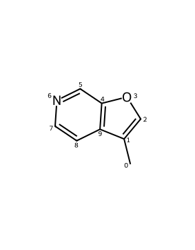 Cc1coc2cnccc12